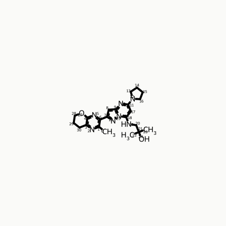 Cc1nc2c(nc1-c1cc3nc(N4CCCC4)cc(NCC(C)(C)O)n3n1)OCCC2